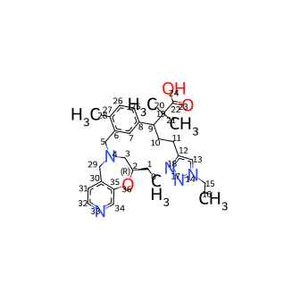 CC[C@@H]1CN(Cc2cc(C(CCc3cn(CC)nn3)C(C)(C)C(=O)O)ccc2C)Cc2ccncc2O1